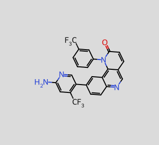 Nc1cc(C(F)(F)F)c(-c2ccc3ncc4ccc(=O)n(-c5cccc(C(F)(F)F)c5)c4c3c2)cn1